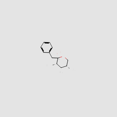 CC(=O)O[C@@H]1[C@@H](OC(C)=O)[C@@](O)(Cc2ccccc2)OC[C@H]1OC(C)=O